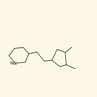 CC1CC(CCC2CCCNC2)CC1C